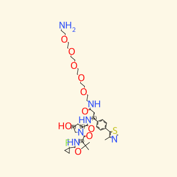 Cc1ncsc1-c1ccc([C@H](CC(=O)NCCOCCOCCOCCOCCOCCN)NC(=O)[C@@H]2C[C@@H](O)CN2C(=O)[C@@H](NC(=O)C2(F)CC2)C(C)(C)C)cc1